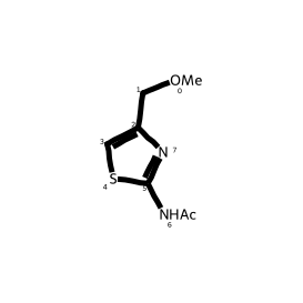 COCc1csc(NC(C)=O)n1